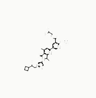 COc1ncc(-c2cc(C)c3c(n2)C(C)N(c2cnn(CC(F)C4CCC4)c2)C3=O)cc1C(=O)NCC(F)F